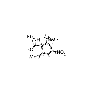 CCNC(=O)c1ccc([N+](=O)[O-])cc1OC.CNC